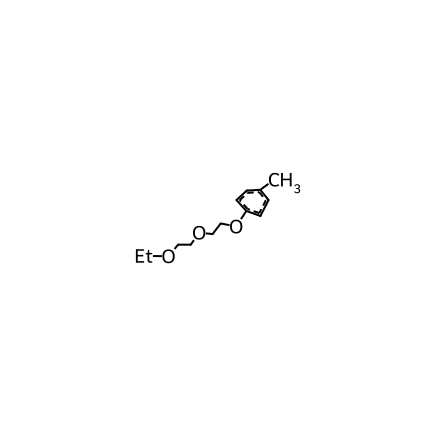 CCOCCOCCOc1ccc(C)cc1